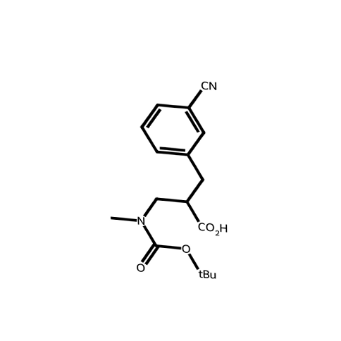 CN(CC(Cc1cccc(C#N)c1)C(=O)O)C(=O)OC(C)(C)C